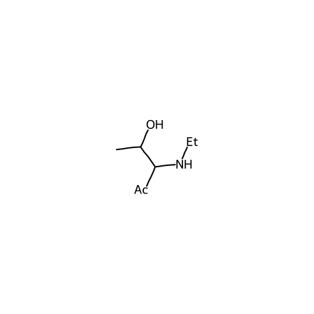 CCNC(C(C)=O)C(C)O